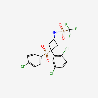 O=S(=O)(NC1CC(c2cc(Cl)ccc2Cl)(S(=O)(=O)c2ccc(Cl)cc2)C1)C(F)(F)F